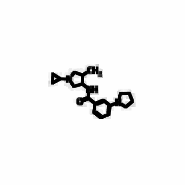 CC1CN(C2CC2)CC1NC(=O)c1cccc(N2CCCC2)c1